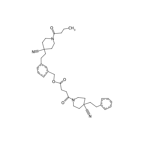 CCCC(=O)N1CCC(C#N)(CCc2cccc(COC(=O)CCC(=O)N3CCC(C#N)(CCc4ccccc4)CC3)c2)CC1